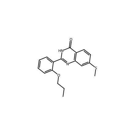 CCCOc1ccccc1-c1nc2cc(SC)ccc2c(=O)[nH]1